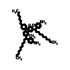 CCCCCCCCCCC(c1ccc(C2(c3ccc(C(CCCCCCCCCC)c4ccc(N)cc4C)cc3)CCC(CCCCCCC)CC2)cc1)c1ccc(N)cc1C